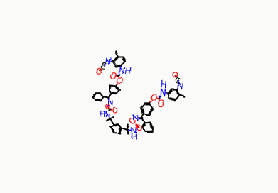 Cc1ccc(NC(=O)Oc2ccc(/C(=N/OC(=O)NC(C)(C)c3cccc(C(C)(C)NC(=O)O/N=C(\c4ccccc4)c4ccc(OC(=O)Nc5ccc(C)c(N=C=O)c5)cc4)c3)c3ccccc3)cc2)cc1N=C=O